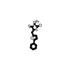 CCCN1C(=O)S/C(=C\c2ccc(-c3ccccc3)o2)C1=S